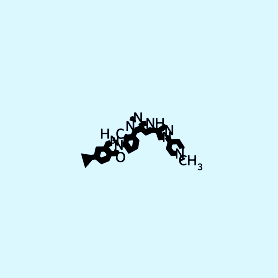 Cc1c(-c2ncnc3[nH]c(-c4cnn(C5CCN(C)CC5)c4)cc23)cccc1-n1ncc2cc(C3CC3)ccc2c1=O